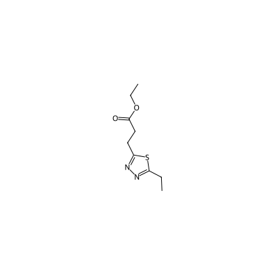 CCOC(=O)CCc1nnc(CC)s1